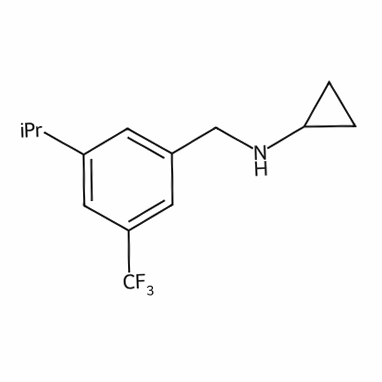 CC(C)c1cc(CNC2CC2)cc(C(F)(F)F)c1